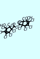 O=C(O)C1(Cl)C2(Cl)CC(Cl)(C(Cl)=C2Cl)C1(Cl)C(=O)OC(=O)C1(Cl)C2(Cl)CC(Cl)(C(Cl)=C2Cl)C1(Cl)C(=O)O